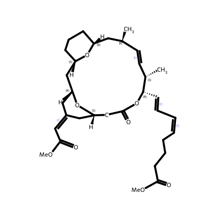 COC(=O)/C=C1\C[C@H]2CC(=O)O[C@@H](/C=C/C=C\CCCC(=O)OC)[C@@H](C)/C=C/[C@H](C)C[C@H]3CCC[C@@H](C[C@@H](C1)O2)O3